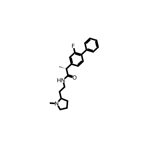 C[C@@H](C(=O)NCCC1CCCN1C)c1ccc(-c2ccccc2)c(F)c1